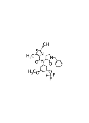 C#Cc1nc(C(=O)N(c2cc(OC)cc(OC(F)(F)F)c2)C2CCN(Cc3ccccc3)C2=O)c(C)s1